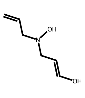 C=CCN(O)CC=CO